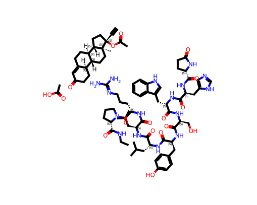 C#C[C@]1(OC(C)=O)CC[C@H]2[C@@H]3CCC4=CC(=O)CC[C@@H]4[C@H]3CC[C@@]21C.CC(=O)O.CCNC(=O)[C@@H]1CCCN1C(=O)[C@H](CCCN=C(N)N)NC(=O)[C@H](CC(C)C)NC(=O)[C@@H](CC(C)C)NC(=O)[C@H](Cc1ccc(O)cc1)NC(=O)[C@H](CO)NC(=O)[C@H](Cc1c[nH]c2ccccc12)NC(=O)[C@H](Cc1cnc[nH]1)NC(=O)[C@@H]1CCC(=O)N1